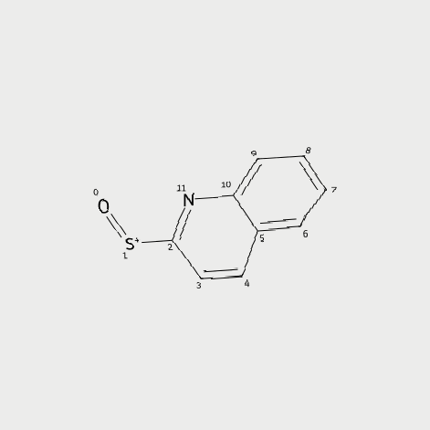 O=[S+]c1ccc2ccccc2n1